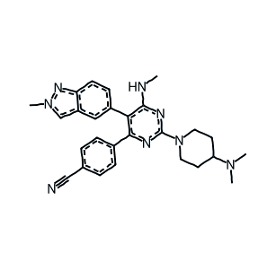 CNc1nc(N2CCC(N(C)C)CC2)nc(-c2ccc(C#N)cc2)c1-c1ccc2nn(C)cc2c1